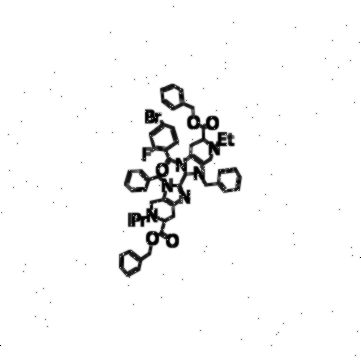 CCN1CC2=C(CC1C(=O)OCc1ccccc1)N(C(=O)c1ccc(Br)cc1F)C(c1nc3c(n1Cc1ccccc1)CN(C(C)C)C(C(=O)OCc1ccccc1)C3)N2Cc1ccccc1